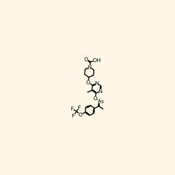 C/C(=[As]/Oc1ncnc(OC2CCN(C(=O)O)CC2)c1C)c1ccc(OC(F)(F)F)cc1